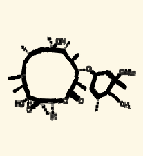 CC[C@H]1OC(=O)[C@H](C)[C@@H](O[C@@H]2C[C@@H](C)[C@H](O)[C@](C)(OC)C2)[C@H](C)[C@@H](C)[C@](C)(O)C[C@@H](C)CN(C)[C@H](C)[C@@H](O)[C@]1(C)O